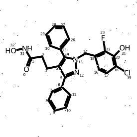 O=C(CCc1c(-c2ccccc2)nn(Cc2ccc(Cl)c(O)c2F)c1-c1ccccc1)NO